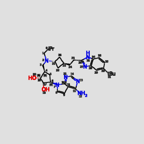 CC(C)CN(C[C@H]1C[C@@H](n2ccc3c(N)ncnc32)C(O)[C@@H]1O)[C@H]1C[C@H](CCc2nc3cc(C(C)(C)C)ccc3[nH]2)C1